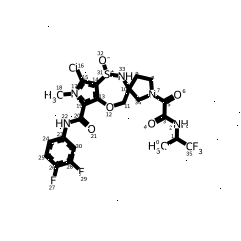 CC(NC(=O)C(=O)N1CCC2(COc3c(c(Cl)n(C)c3C(=O)Nc3ccc(F)c(F)c3)[S+]([O-])N2)C1)C(F)(F)F